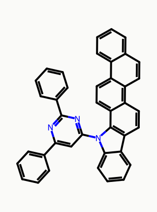 c1ccc(-c2cc(-n3c4ccccc4c4ccc5c6ccc7ccccc7c6ccc5c43)nc(-c3ccccc3)n2)cc1